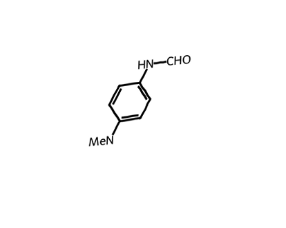 [CH2]Nc1ccc(NC=O)cc1